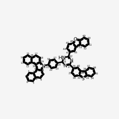 c1ccc2c(c1)ccc1c2c2c3ccccc3ccc2n1-c1ccc(C2N=C(c3ccc4sc5ccccc5c4c3)N=C(c3ccc4oc5ccccc5c4c3)N2)cc1